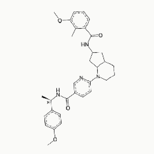 COc1ccc([C@@H](C)NC(=O)c2ccc(N3CCCC4CC(NC(=O)c5cccc(OC)c5C)CC43)nc2)cc1